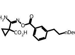 CCCCCCCCCCCCc1cccc(C(=O)O/N=C(/N)C2(C(=O)O)CC2)c1